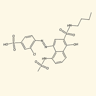 CCCCNS(=O)(=O)c1cc(/N=N/c2ccc(S(=O)(=O)O)cc2Cl)c2c(NS(C)(=O)=O)cccc2c1O